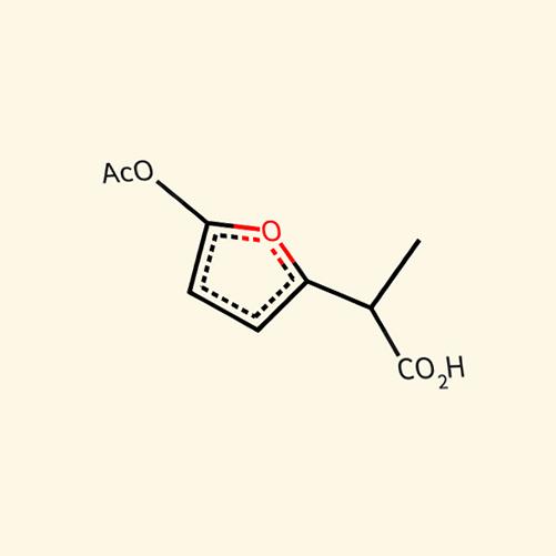 CC(=O)Oc1ccc(C(C)C(=O)O)o1